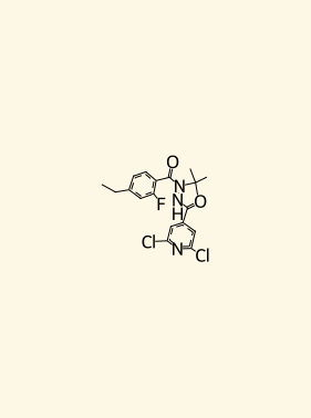 CCc1ccc(C(=O)N(NC(=O)c2cc(Cl)nc(Cl)c2)C(C)(C)C)c(F)c1